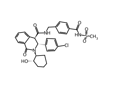 CS(=O)(=O)NC(=O)c1ccc(CNC(=O)[C@@H]2c3ccccc3C(=O)N([C@H]3CCCC[C@@H]3O)[C@H]2c2ccc(Cl)cc2)cc1